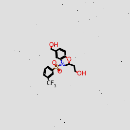 O=S(=O)(c1cccc(C(F)(F)F)c1)N1CC(CCO)Oc2ccc(CO)cc21